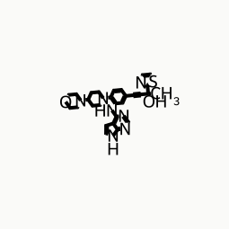 CC(O)(C#Cc1ccc(N2CCC(N3CCOCC3)CC2)c(Nc2ncnc3[nH]ccc23)c1)c1nccs1